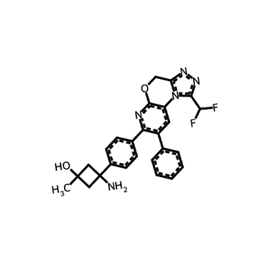 CC1(O)CC(N)(c2ccc(-c3nc4c(cc3-c3ccccc3)-n3c(nnc3C(F)F)CO4)cc2)C1